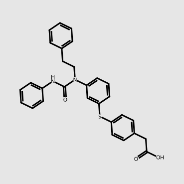 O=C(O)Cc1ccc(Sc2cccc(N(CCc3ccccc3)C(=O)Nc3ccccc3)c2)cc1